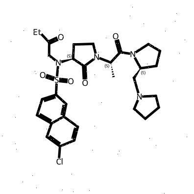 CCC(=O)CN([C@H]1CCN([C@@H](C)C(=O)N2CCC[C@H]2CN2CCCC2)C1=O)S(=O)(=O)c1ccc2cc(Cl)ccc2c1